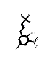 O=[N+]([O-])c1cc(Br)cc(C/C=C/C(F)(F)F)c1O